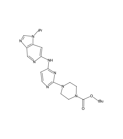 CC(C)n1cnc2cnc(Nc3ccnc(N4CCN(C(=O)OC(C)(C)C)CC4)n3)cc21